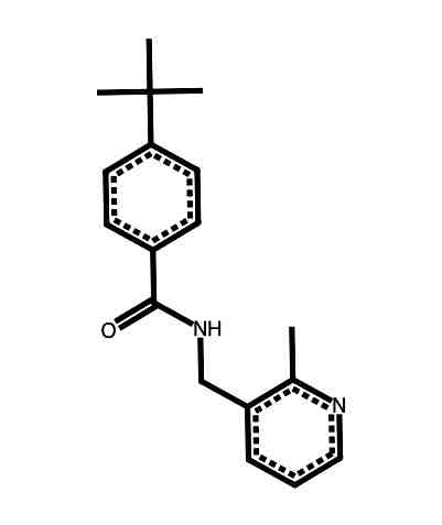 Cc1ncccc1CNC(=O)c1ccc(C(C)(C)C)cc1